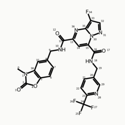 Cn1c(=O)oc2ccc(CNC(=O)c3cc(C(=O)NCc4ccc(C(F)(F)F)nc4)n4ncc(F)c4n3)cc21